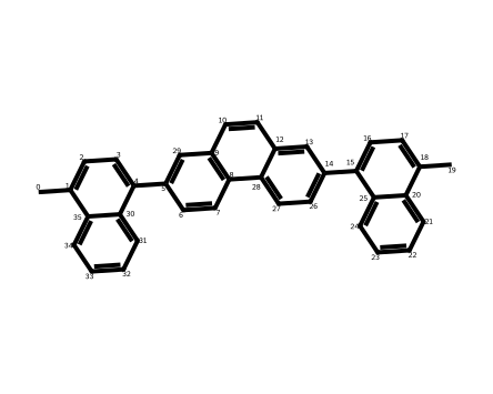 Cc1ccc(-c2ccc3c(ccc4cc(-c5ccc(C)c6ccccc56)ccc43)c2)c2ccccc12